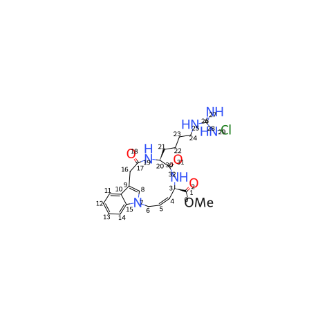 COC(=O)[C@H]1/C=C\Cn2cc(c3ccccc32)CC(=O)N[C@@H](CCCCNC(=N)NCl)C(=O)N1